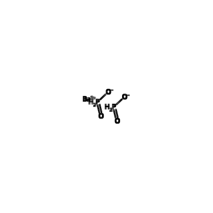 O=[PH2][O-].O=[PH2][O-].[Ba+2]